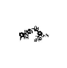 CCCOC(=O)c1cc(-c2cc(CN3Cc4nc(-c5cccc(F)c5F)[nH]c4C=N3)on2)ccc1OCCC